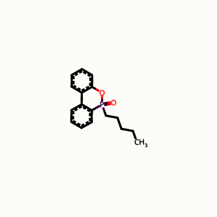 CCCCCP1(=O)Oc2ccccc2-c2ccccc21